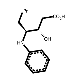 CC(C)C[C@H](Nc1ccccc1)[C@@H](O)CC(=O)O